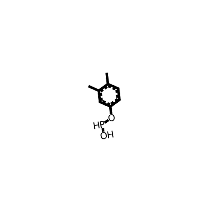 Cc1ccc(OPO)cc1C